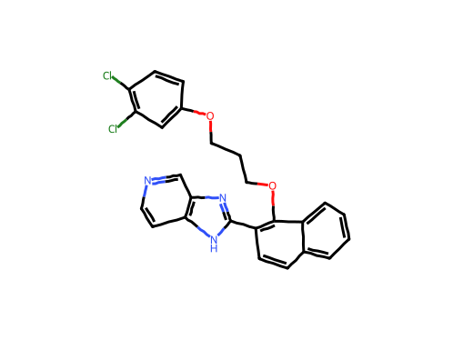 Clc1ccc(OCCCOc2c(-c3nc4cnccc4[nH]3)ccc3ccccc23)cc1Cl